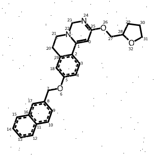 C1=C2c3ccc(OCc4ccc5ccccc5c4)cc3CCN2CN=C1OCC1CCCO1